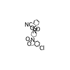 N#CC1=CC=CCC1S(=O)(=O)N1CCC(N2C(=O)OCc3cc(Cl)ccc32)CC1